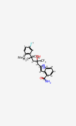 COc1ccc(F)cc1C(C)(C)CC(O)(Cc1cc2c(C(N)=O)cccc2[nH]1)C(F)(F)F